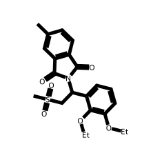 CCOc1cccc(C(CS(C)(=O)=O)N2C(=O)c3ccc(C)cc3C2=O)c1OCC